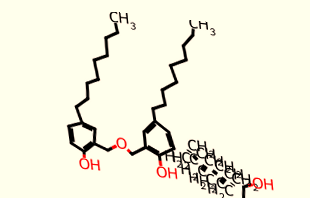 C=C.C=C.C=C.C=C.C=C.C=C.CCCCCCCCCc1ccc(O)c(COCc2cc(CCCCCCCCC)ccc2O)c1.OCCO